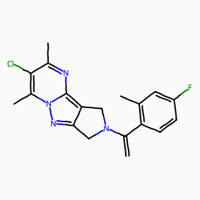 C=C(c1ccc(F)cc1C)N1Cc2nn3c(C)c(Cl)c(C)nc3c2C1